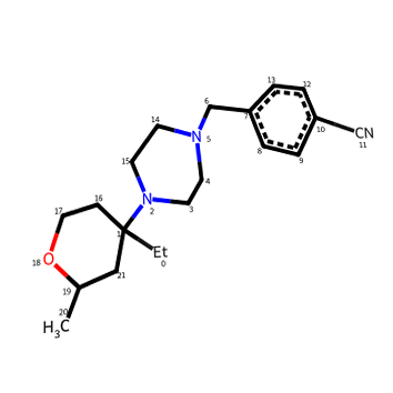 CCC1(N2CCN(Cc3ccc(C#N)cc3)CC2)CCOC(C)C1